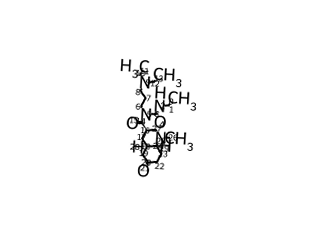 CCNC(=O)N(CCCN(CC)CC)C(=O)[C@@H]1C[C@@H]2CC(=O)CC[C@H]2N(C)C1